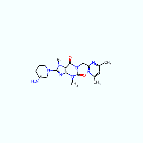 CCn1c(N2CCC[C@@H](N)C2)nc2c1c(=O)n(Cc1nc(C)cc(C)n1)c(=O)n2C